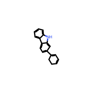 C1=CCCC(c2ccc3c(c2)[nH]c2ccccc23)=C1